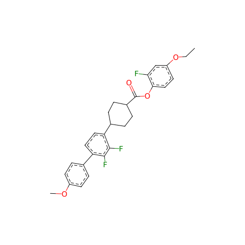 CCOc1ccc(OC(=O)C2CCC(c3ccc(-c4ccc(OC)cc4)c(F)c3F)CC2)c(F)c1